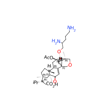 CC(=O)O[C@@H]1C[C@]23COC[C@@](C)([C@@H]2CC[C@H]2C3=CC(=O)[C@@]3(C)[C@H](C(=O)O)[C@@](C)([C@H](C)C(C)C)CC[C@]23C)[C@H]1OCC(N)CCCN